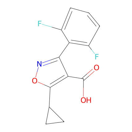 O=C(O)c1c(-c2c(F)cccc2F)noc1C1CC1